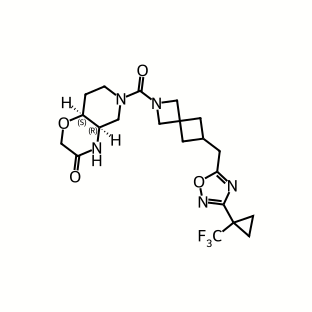 O=C1CO[C@H]2CCN(C(=O)N3CC4(CC(Cc5nc(C6(C(F)(F)F)CC6)no5)C4)C3)C[C@H]2N1